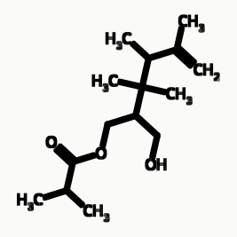 C=C(C)C(C)C(C)(C)C(CO)COC(=O)C(C)C